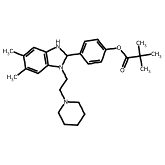 Cc1cc2c(cc1C)N(CCN1CCCCC1)C(c1ccc(OC(=O)C(C)(C)C)cc1)N2